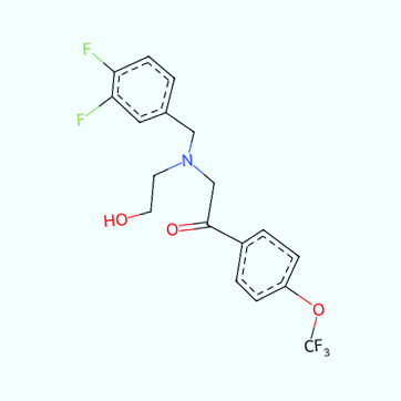 O=C(CN(CCO)Cc1ccc(F)c(F)c1)c1ccc(OC(F)(F)F)cc1